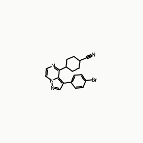 N#CC1CCC(c2nccn3ncc(-c4ccc(Br)cc4)c23)CC1